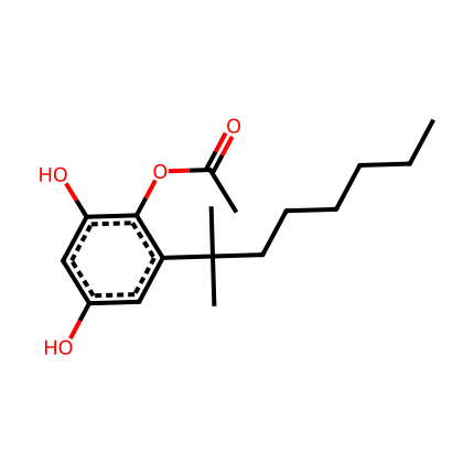 CCCCCCC(C)(C)c1cc(O)cc(O)c1OC(C)=O